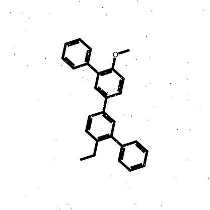 CCc1ccc(-c2ccc(OC)c(-c3ccccc3)c2)cc1-c1ccccc1